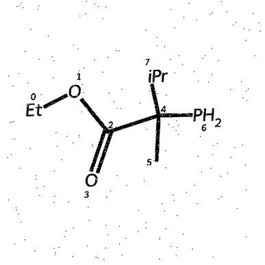 CCOC(=O)C(C)(P)C(C)C